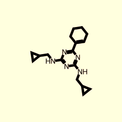 C1=C(c2nc(NCC3CC3)nc(NCC3CC3)n2)CCCC1